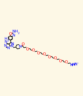 [N-]=[N+]=NCCOCCOCCOCCOCCOCCOCCOCCOCCC(=O)N1CCC(Cn2nc(-c3ccc4oc(N)nc4c3)c3c(N)ncnc32)CC1